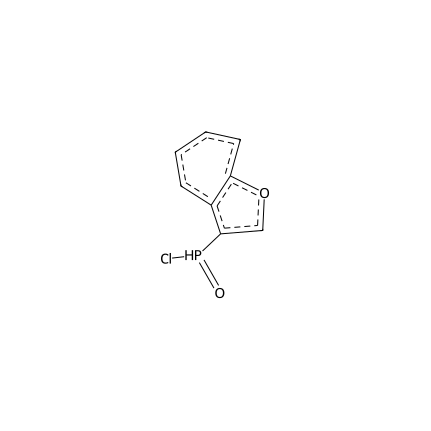 O=[PH](Cl)c1coc2ccccc12